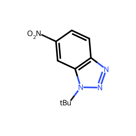 CC(C)(C)n1nnc2ccc([N+](=O)[O-])cc21